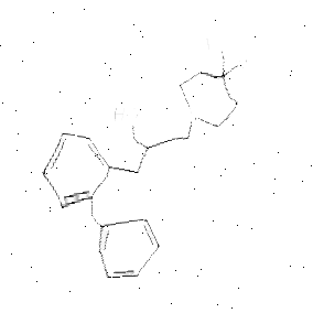 CCC1(O)CCN(CC(O)Cc2ccccc2-c2ccccc2)CC1